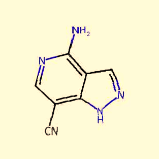 N#Cc1cnc(N)c2cn[nH]c12